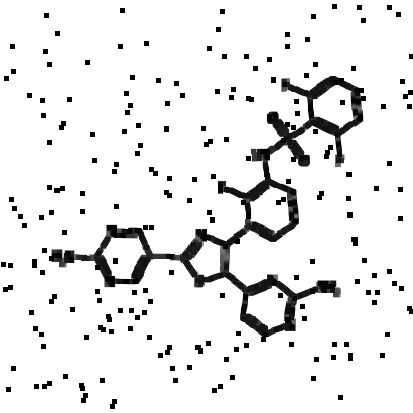 Nc1ncc(-c2nc(-c3cccc(NS(=O)(=O)c4c(F)cccc4F)c3F)c(-c3ccnc(N)n3)s2)cn1